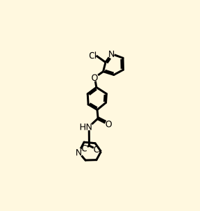 O=C(NC1CC2CCN(CC2)C1)c1ccc(Oc2cccnc2Cl)cc1